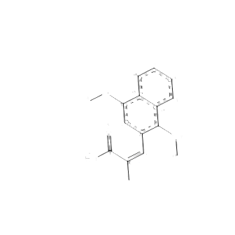 COc1cc(/C=C(/C)C(=O)O)c(OC)c2ccccc12